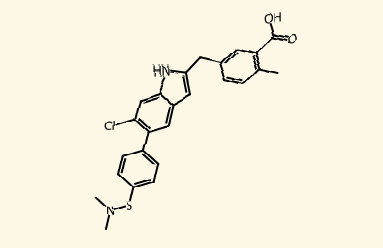 Cc1ccc(Cc2cc3cc(-c4ccc(SN(C)C)cc4)c(Cl)cc3[nH]2)cc1C(=O)O